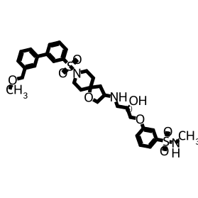 CNS(=O)(=O)c1cccc(OC[C@@H](O)CNC2COC3(CCN(S(=O)(=O)c4cccc(-c5cccc(COC)c5)c4)CC3)C2)c1